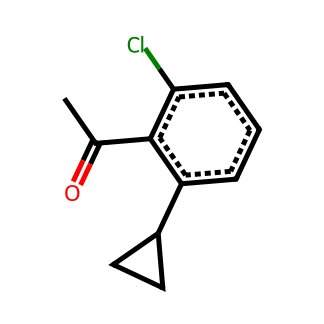 CC(=O)c1c(Cl)cccc1C1CC1